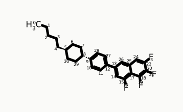 CCCCC[C@H]1CC[C@H](c2ccc(-c3cc(F)c4c(F)c(F)c(F)cc4c3)cc2)CC1